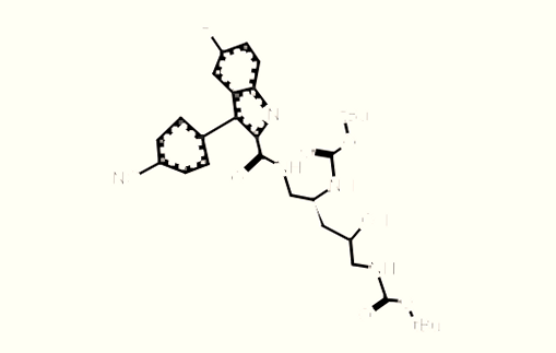 CC(C)(C)OC(=O)NCC(O)C[C@@H](CNC(=O)c1[nH]c2ccc(F)cc2c1-c1ccc(C#N)cc1)NC(=O)OC(C)(C)C